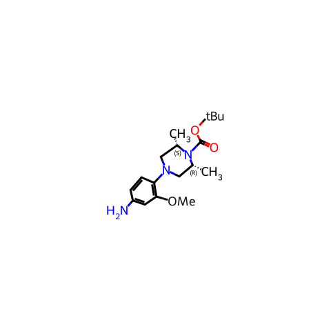 COc1cc(N)ccc1N1C[C@@H](C)N(C(=O)OC(C)(C)C)[C@@H](C)C1